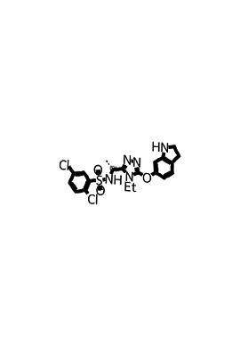 CCn1c(Oc2ccc3c(c2)NCC3)nnc1[C@@H](C)NS(=O)(=O)c1cc(Cl)ccc1Cl